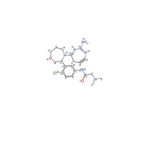 CN(C)CC(=O)Nc1ccc(Cl)c(C2COCCCN2C2=NC(N)=NC#CC2)c1